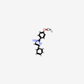 COc1ccc(-c2nc(-c3ccccc3)c[nH]2)cc1